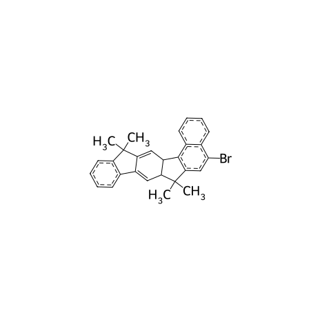 CC1(C)C2=CC3c4c(cc(Br)c5ccccc45)C(C)(C)C3C=C2c2ccccc21